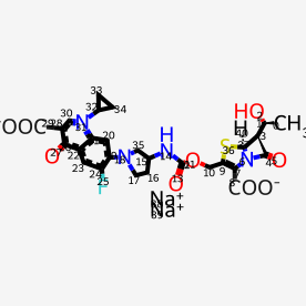 C[C@H](O)[C@H]1C(=O)N2C(C(=O)[O-])=C(COC(=O)NC3CCN(c4cc5c(cc4F)c(=O)c(C(=O)[O-])cn5C4CC4)C3)S[C@@H]12.[Na+].[Na+]